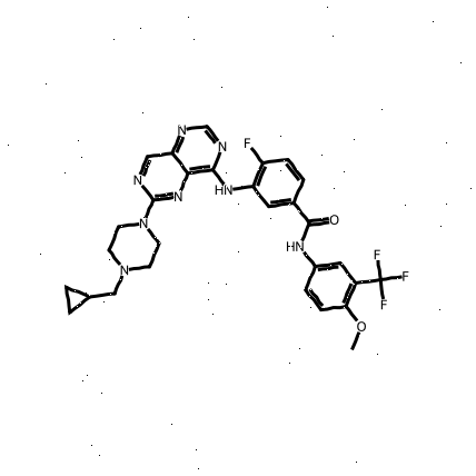 COc1ccc(NC(=O)c2ccc(F)c(Nc3ncnc4cnc(N5CCN(CC6CC6)CC5)nc34)c2)cc1C(F)(F)F